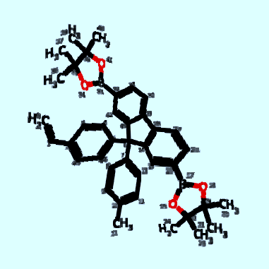 C=Cc1ccc(C2(c3ccc(C)cc3)c3cc(B4OC(C)(C)C(C)(C)O4)ccc3-c3ccc(B4OC(C)(C)C(C)(C)O4)cc32)cc1